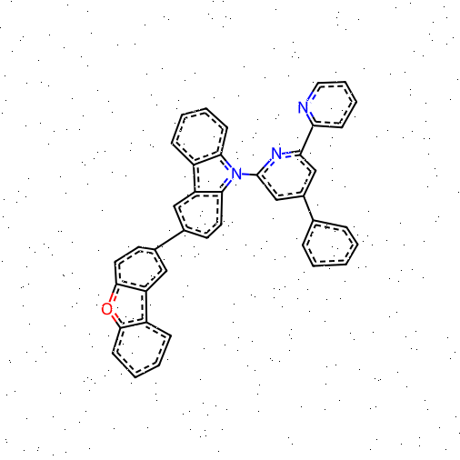 c1ccc(-c2cc(-c3ccccn3)nc(-n3c4ccccc4c4cc(-c5ccc6oc7ccccc7c6c5)ccc43)c2)cc1